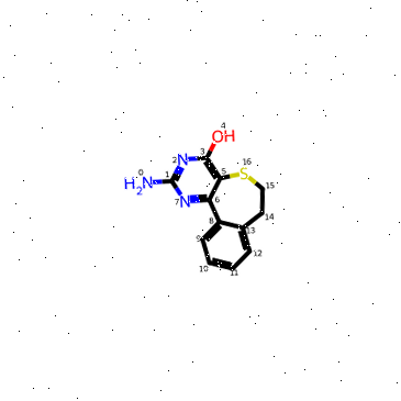 Nc1nc(O)c2c(n1)-c1ccccc1CCS2